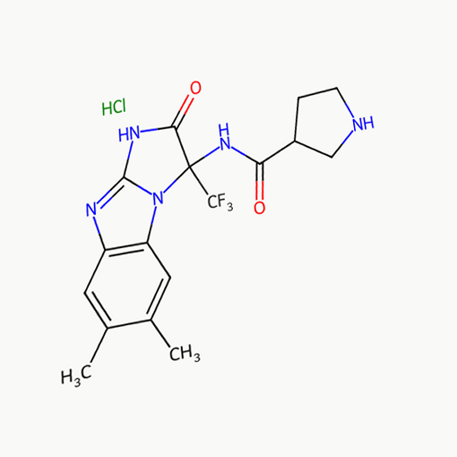 Cc1cc2nc3n(c2cc1C)C(NC(=O)C1CCNC1)(C(F)(F)F)C(=O)N3.Cl